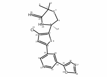 CC1(C)SC[C@@](C)(c2sc(-c3cncc(-c4cnco4)c3)cc2Cl)NC1=N